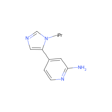 CC(C)n1cncc1-c1ccnc(N)c1